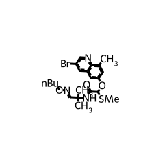 CCCCON=CC(C)(C)NC(=O)C(Oc1cc(C)c2ncc(Br)cc2c1)SC